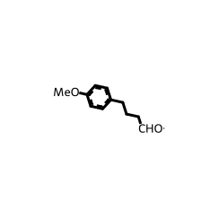 COc1ccc(CCC[C]=O)cc1